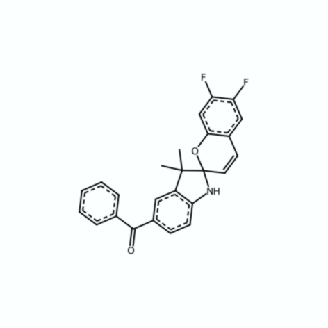 CC1(C)c2cc(C(=O)c3ccccc3)ccc2NC12C=Cc1cc(F)c(F)cc1O2